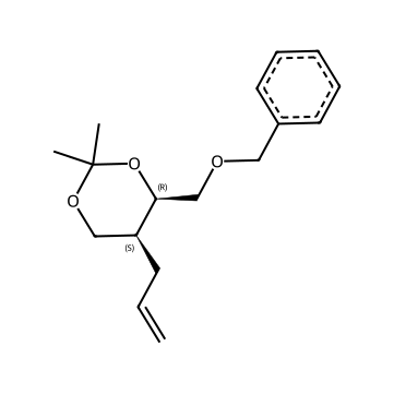 C=CC[C@H]1COC(C)(C)O[C@H]1COCc1ccccc1